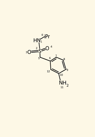 CC(C)NS(=O)(=O)Cc1cccc(N)c1